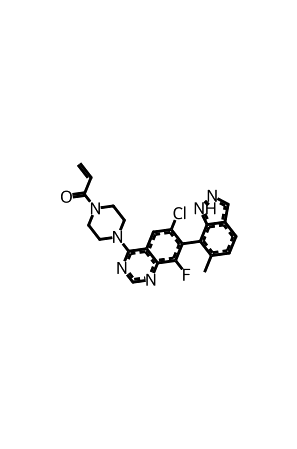 C=CC(=O)N1CCN(c2ncnc3c(F)c(-c4c(C)ccc5cn[nH]c45)c(Cl)cc23)CC1